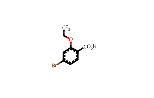 O=C(O)c1ccc(Br)cc1OCC(F)(F)F